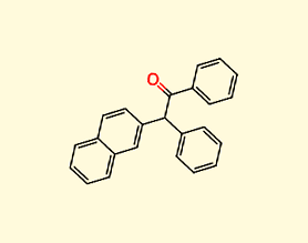 O=C(c1ccccc1)C(c1ccccc1)c1ccc2ccccc2c1